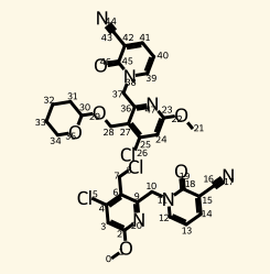 COc1cc(Cl)c(CCl)c(Cn2cccc(C#N)c2=O)n1.COc1cc(Cl)c(COC2CCCCO2)c(Cn2cccc(C#N)c2=O)n1